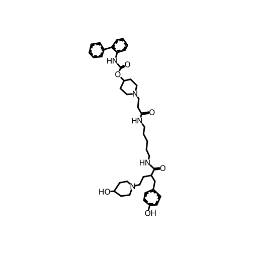 O=C(CCN1CCC(OC(=O)Nc2ccccc2-c2ccccc2)CC1)NCCCCCNC(=O)C(CCN1CCC(O)CC1)Cc1ccc(O)cc1